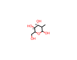 CC1C(O)OC(CO)[C@@H](O)[C@@H]1O